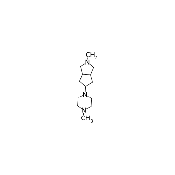 CN1CCN(C2CC3CN(C)CC3C2)CC1